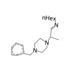 CCCCCCN=CC(C)N1CCN(Cc2ccccc2)CC1